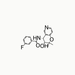 CC1(C)Oc2ccncc2[C@@H](NC(=O)c2cccc(F)c2)[C@@H]1O